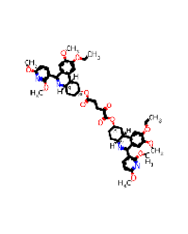 CCOc1cc2c(cc1OC)C(c1ccc(OC)nc1OC)=N[C@@H]1CC[C@@H](OC(=O)CCC(=O)C(=O)O[C@@H]3CC[C@H]4N=C(c5ccc(OC)nc5OC)c5cc(OC)c(OCC)cc5[C@H]4C3)C[C@H]21